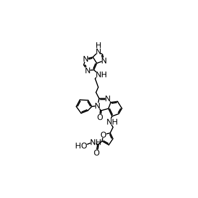 O=C(NO)c1ccc(CNc2cccc3nc(CCCNc4ncnc5[nH]cnc45)n(-c4ccccc4)c(=O)c23)o1